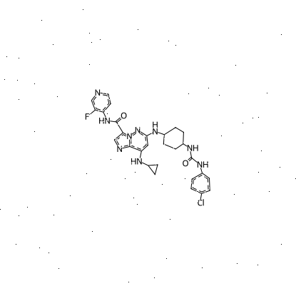 O=C(Nc1ccc(Cl)cc1)NC1CCC(Nc2cc(NC3CC3)c3ncc(C(=O)Nc4ccncc4F)n3n2)CC1